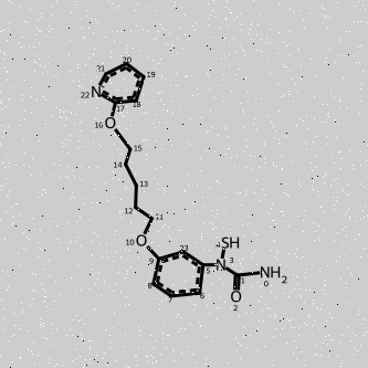 NC(=O)N(S)c1cccc(OCCCCCOc2ccccn2)c1